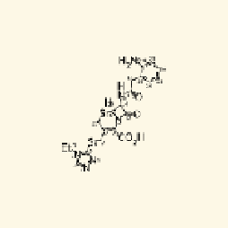 CCn1cnnc1SCC1=C(C(=O)O)N2C(=O)C(NC(=O)Cc3ccccc3N)[C@@H]2SC1